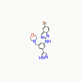 Brc1ccc2nc(Nc3cc(CN4CCOCC4)cc(-c4cn[nH]c4)c3)ncc2c1